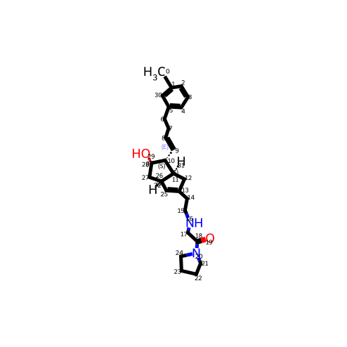 Cc1cccc(CC/C=C/[C@@H]2[C@H]3CC(CCNCC(=O)N4CCCC4)=C[C@H]3C[C@H]2O)c1